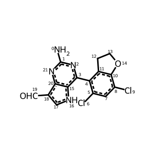 Nc1nc(-c2c(Cl)cc(Cl)c3c2CCO3)c2[nH]cc(C=O)c2n1